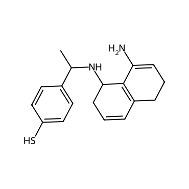 CC(NC1CC=CC2=C1C(N)=CCC2)c1ccc(S)cc1